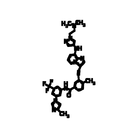 Cc1cn(-c2cc(NC(=O)c3ccc(C)c(C#Cc4cnc5c(Nc6cnn(CCN(C)C)c6)cccn45)c3)cc(C(F)(F)F)c2)cn1